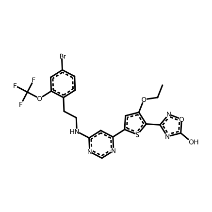 CCOc1cc(-c2cc(NCCc3ccc(Br)cc3OC(F)(F)F)ncn2)sc1-c1noc(O)n1